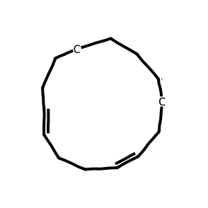 [CH]1CC/C=C\CC/C=C/CCCCC1